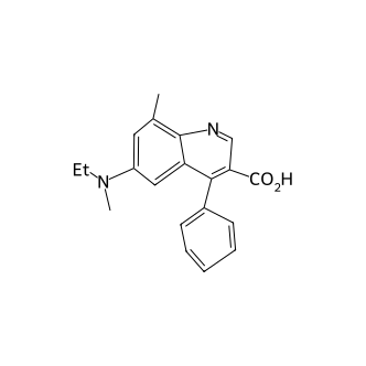 CCN(C)c1cc(C)c2ncc(C(=O)O)c(-c3ccccc3)c2c1